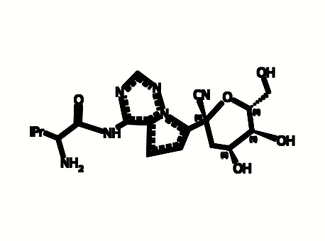 CC(C)C(N)C(=O)Nc1ncnn2c([C@@]3(C#N)C[C@H](O)[C@H](O)[C@@H](CO)O3)ccc12